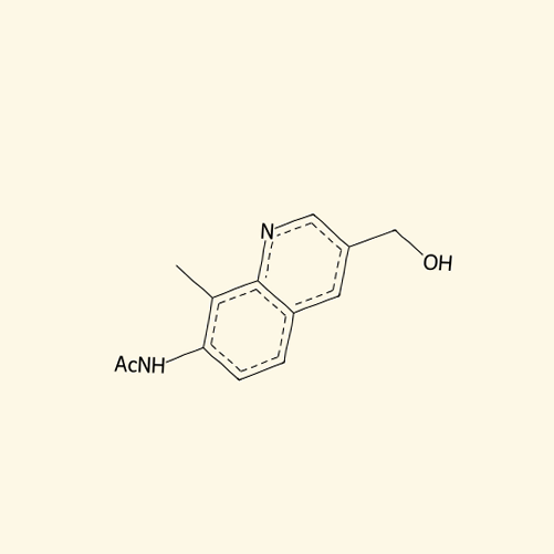 CC(=O)Nc1ccc2cc(CO)cnc2c1C